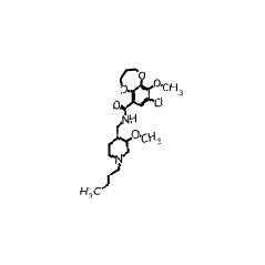 CCCCN1CC[C@@H](CNC(=O)c2cc(Cl)c(OC)c3c2OCCCO3)C(OC)C1